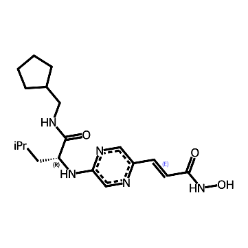 CC(C)C[C@@H](Nc1cnc(/C=C/C(=O)NO)cn1)C(=O)NCC1CCCC1